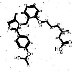 Cc1cnc(-c2ccc(OC(C)F)cc2)n1Cc1ccccc1OCCC[C@@H](C)CC(=O)O